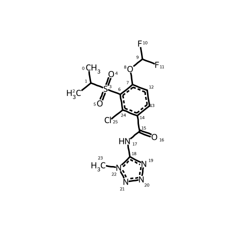 CC(C)S(=O)(=O)c1c(OC(F)F)ccc(C(=O)Nc2nnnn2C)c1Cl